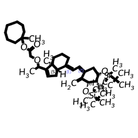 C=C1/C(=C\C=C2/CCC[C@]3(C)C(C(C)OCC(=O)OC4(C)CCCCCCC4)=CC[C@@H]23)C[C@@H](O[Si](C)(C)C(C)(C)C)C[C@@H]1O[Si](C)(C)C(C)(C)C